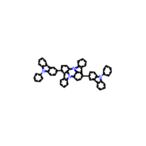 c1ccc(-n2c3ccccc3c3cc(-c4ccc5c6c4c4ccccc4n6c4ccc(-c6ccc7c(c6)c6ccccc6n7-c6ccccc6)c6c7ccccc7n5c64)ccc32)cc1